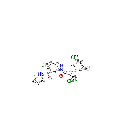 O=C(Nc1ccsc1)c1cc(NC(=O)[C@H]2[C@H](c3cc(Cl)cc(Cl)c3)C2(Cl)Cl)ccc1Cl